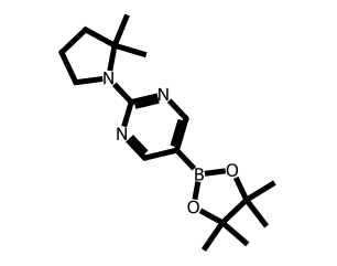 CC1(C)CCCN1c1ncc(B2OC(C)(C)C(C)(C)O2)cn1